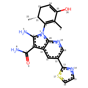 CC1=C(n2c(N)c(C(N)=O)c3cc(-c4nccs4)cnc32)[C@H](C)CC=C1O